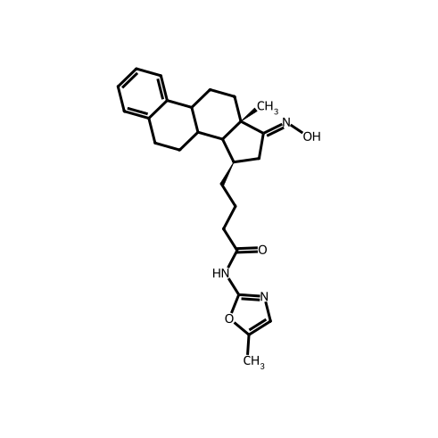 Cc1cnc(NC(=O)CCC[C@@H]2C/C(=N\O)[C@@]3(C)CCC4c5ccccc5CCC4C23)o1